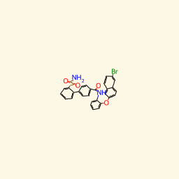 NS(=O)(=O)c1ccccc1-c1ccc(C(=O)Nc2ccccc2Oc2ccc3cc(Br)ccc3c2)cc1